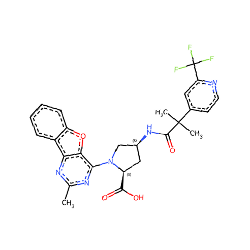 Cc1nc(N2C[C@@H](NC(=O)C(C)(C)c3ccnc(C(F)(F)F)c3)C[C@H]2C(=O)O)c2oc3ccccc3c2n1